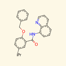 CC(C)c1ccc(OCc2ccccc2)c(C(=O)Nc2cccc3cccnc23)c1